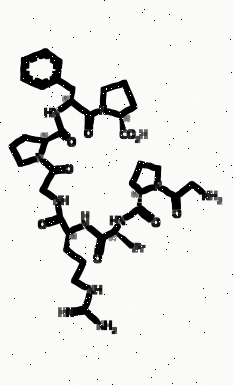 CC(C)[C@H](NC(=O)[C@@H]1CCCN1C(=O)CN)C(=O)N[C@@H](CCCNC(=N)N)C(=O)NCC(=O)N1CCC[C@H]1C(=O)N[C@@H](Cc1ccccc1)C(=O)N1CCC[C@H]1C(=O)O